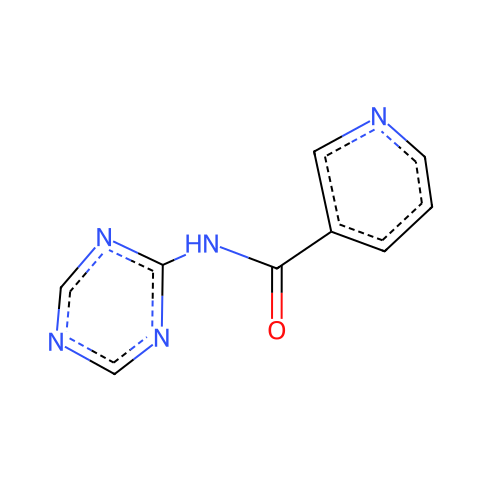 O=C(Nc1ncncn1)c1cccnc1